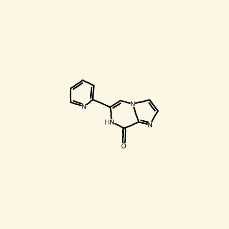 O=c1[nH]c(-c2ccccn2)cn2ccnc12